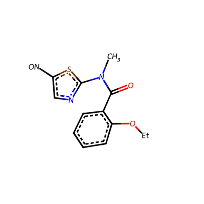 CCOc1ccccc1C(=O)N(C)c1ncc(N=O)s1